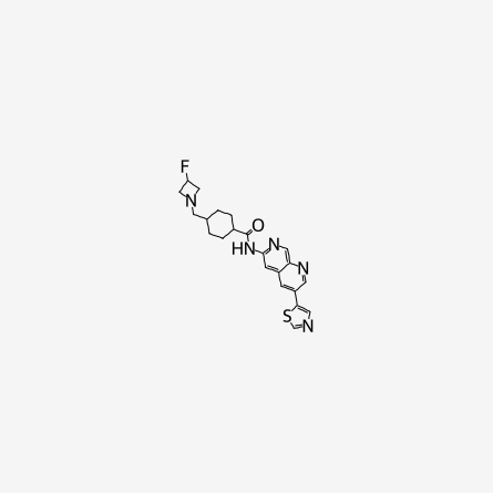 O=C(Nc1cc2cc(-c3cncs3)cnc2cn1)C1CCC(CN2CC(F)C2)CC1